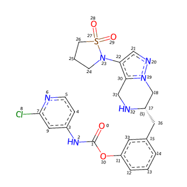 O=C(Nc1ccnc(Cl)c1)Oc1cccc(C[C@H]2Cn3ncc(N4CCCS4(=O)=O)c3CN2)c1